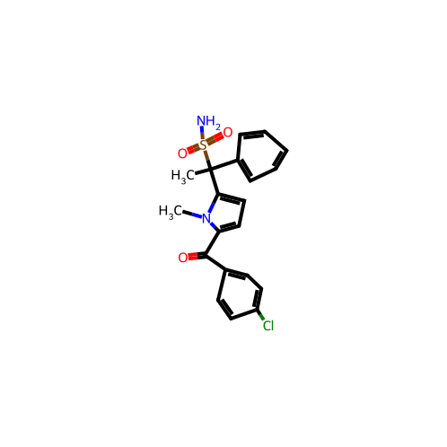 Cn1c(C(=O)c2ccc(Cl)cc2)ccc1C(C)(c1ccccc1)S(N)(=O)=O